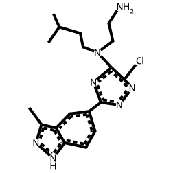 Cc1n[nH]c2ccc(-c3nnc(Cl)c(N(CCN)CCC(C)C)n3)cc12